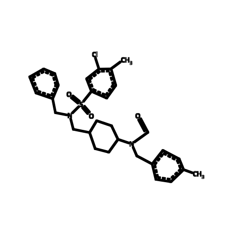 Cc1ccc(CN(C=O)C2CCC(CN(Cc3ccccc3)S(=O)(=O)c3ccc(C)c(Cl)c3)CC2)cc1